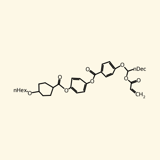 C=CC(=O)OC(CCCCCCCCCC)Oc1ccc(C(=O)Oc2ccc(OC(=O)C3CCC(OCCCCCC)CC3)cc2)cc1